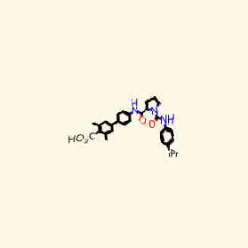 Cc1cc(-c2ccc(NC(=O)[C@H]3CCCN3C(=O)Nc3ccc(C(C)C)cc3)cc2)cc(C)c1C(=O)O